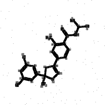 CCC(S)NC(=O)c1ccc(C2=NOC(c3cc(Cl)cc(Cl)c3)(C(F)(F)F)C2)cc1C